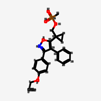 COCOc1ccc(-c2noc(C3(COS(C)(=O)=O)CC3)c2-c2ccccc2)cc1